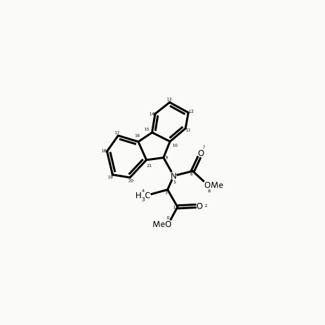 COC(=O)C(C)N(C(=O)OC)C1c2ccccc2-c2ccccc21